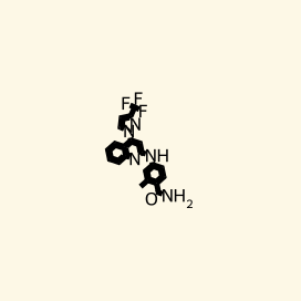 Cc1cc(Nc2cc(-n3ccc(C(F)(F)F)n3)c3ccccc3n2)ccc1C(N)=O